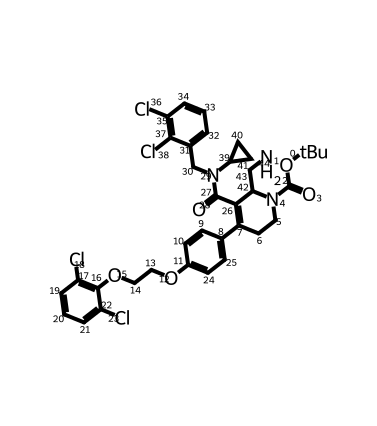 CC(C)(C)OC(=O)N1CCC(c2ccc(OCCOc3c(Cl)cccc3Cl)cc2)=C(C(=O)N(Cc2cccc(Cl)c2Cl)C2CC2)C1CN